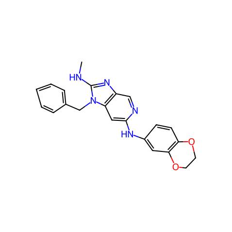 CNc1nc2cnc(Nc3ccc4c(c3)OCCO4)cc2n1Cc1ccccc1